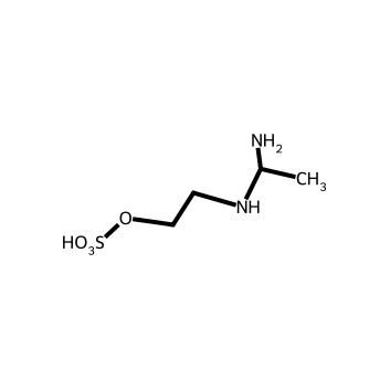 CC(N)NCCOS(=O)(=O)O